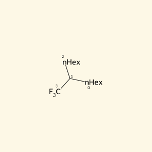 CCCCCCC(CCCCCC)C(F)(F)F